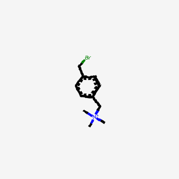 C[N+](C)(C)Cc1ccc(CBr)cc1